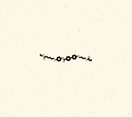 C=COC(=O)CCCCCOc1ccc(OC(=O)c2ccc(-c3ccc(OCCCCOC(=O)C=C)cc3)cc2)cc1